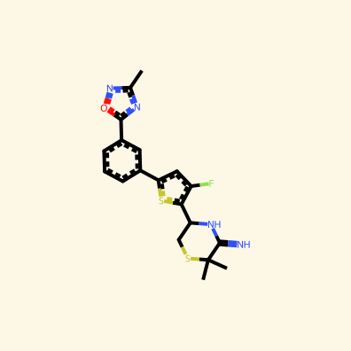 Cc1noc(-c2cccc(-c3cc(F)c(C4CSC(C)(C)C(=N)N4)s3)c2)n1